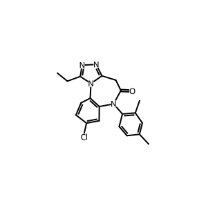 CCc1nnc2n1-c1ccc(Cl)cc1N(c1ccc(C)cc1C)C(=O)C2